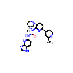 Cc1cc(-c2ccc3c(n2)N(C(=O)Nc2ccc4[nH]cnc4n2)[C@H]2CCN3C2)ccn1